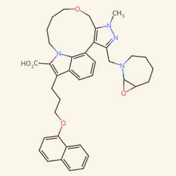 Cn1nc(CN2CCCCC3OC32)c2c1COCCCCn1c(C(=O)O)c(CCCOc3cccc4ccccc34)c3cccc-2c31